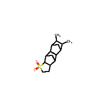 CC1C(C)C2CC1C1C3CC(C21)C1C3CCS1(=O)=O